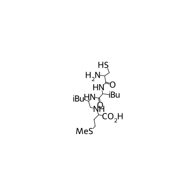 CCC(C)C(CNC(CCSC)C(=O)O)NC(=O)C(NC(=O)C(N)CS)C(C)CC